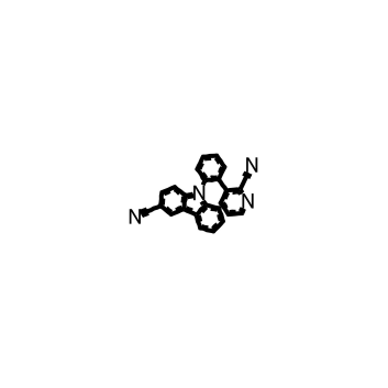 N#Cc1ccc2c(c1)c1ccccc1n2-c1ccccc1-c1cccnc1C#N